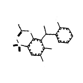 CC(c1ccccc1F)c1c(F)c(F)cc2c1NC(Cl)=NS2(=O)=O